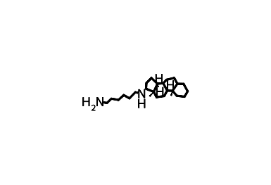 C[C@]12CCCCC1CC[C@@H]1[C@H]2CC[C@]2(C)C(NCCCCCCN)CC[C@@H]12